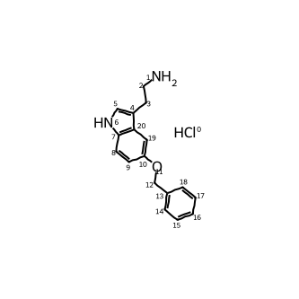 Cl.NCCc1c[nH]c2ccc(OCc3ccccc3)cc12